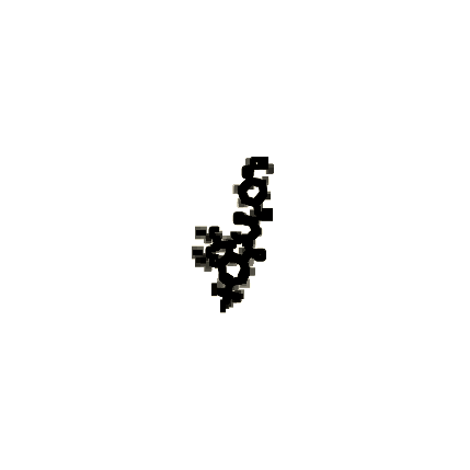 CO[C@H]1CC[C@@H](NC(=O)Cn2nc(C(C)C)c3c(c2=O)C=CC(C(F)(F)F)=CC3C)CC1